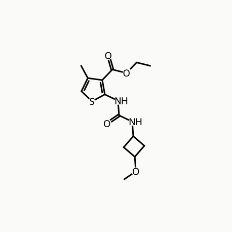 CCOC(=O)c1c(C)csc1NC(=O)NC1CC(OC)C1